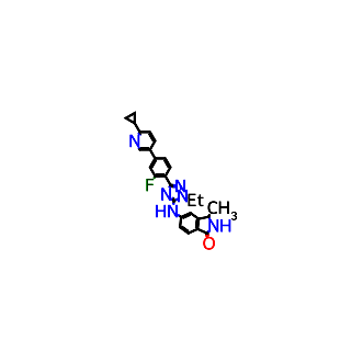 CCn1nc(-c2ccc(-c3ccc(C4CC4)nc3)cc2F)nc1Nc1ccc2c(c1)C(C)NC2=O